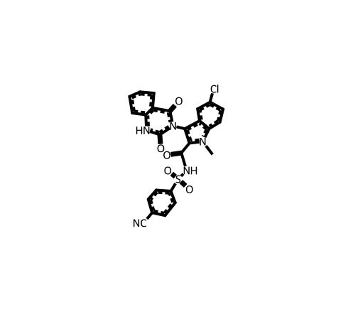 Cn1c(C(=O)NS(=O)(=O)c2ccc(C#N)cc2)c(-n2c(=O)[nH]c3ccccc3c2=O)c2cc(Cl)ccc21